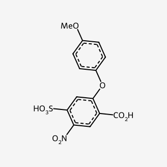 COc1ccc(Oc2cc(S(=O)(=O)O)c([N+](=O)[O-])cc2C(=O)O)cc1